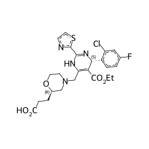 CCOC(=O)C1=C(CN2CCO[C@H](CCC(=O)O)C2)NC(c2nccs2)=N[C@@H]1c1ccc(F)cc1Cl